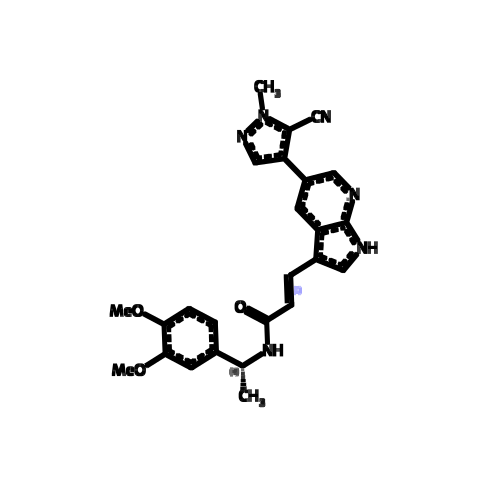 COc1ccc([C@@H](C)NC(=O)/C=C/c2c[nH]c3ncc(-c4cnn(C)c4C#N)cc23)cc1OC